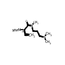 C=C[C@@H](NC)C(=O)N(C)CCCN(C)C